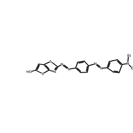 CCN(CC)c1ccc(N=Nc2ccc(N=Nc3nc4sc(O)cc4s3)cc2)cc1